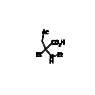 CCNC(CC)(CC(C)=O)C(=O)O